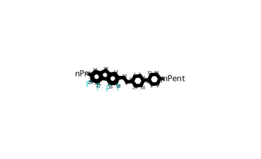 CCCCCC1CCC(C2CCC(CCc3cc4c(c(F)c3F)-c3c(cc(CCC)c(F)c3F)C4)CC2)CC1